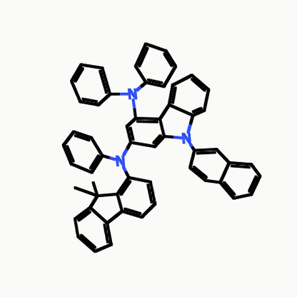 CC1(C)c2ccccc2-c2cccc(N(c3ccccc3)c3cc(N(c4ccccc4)c4ccccc4)c4c5ccccc5n(-c5ccc6ccccc6c5)c4c3)c21